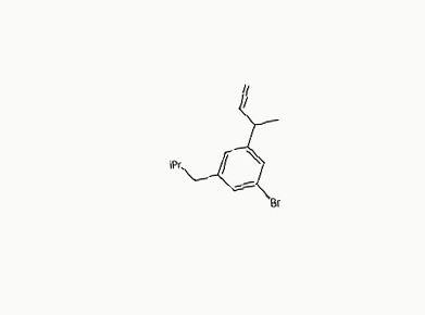 C=C[C](C)c1cc(Br)cc(CC(C)C)c1